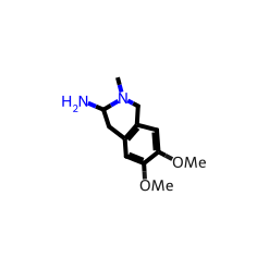 COc1cc2c(cc1OC)CN(C)C(N)C2